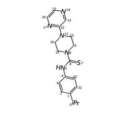 CC(C)c1ccc(NC(=S)N2CCN(c3cnccn3)CC2)cc1